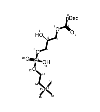 CCCCCCCCCCC(=O)OC[C@@H](O)COP(=O)(O)OCC[N+](C)(C)C